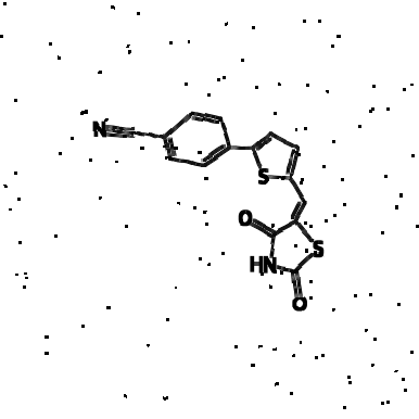 N#Cc1ccc(-c2ccc(C=C3SC(=O)NC3=O)s2)cc1